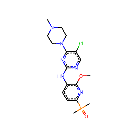 COc1nc(P(C)(C)=O)ccc1Nc1ncc(Cl)c(N2CCN(C)CC2)n1